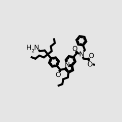 CCCCc1cc2cc(C(=O)N(CC(=O)OC)Cc3ccccc3)ccn2c1C(=O)c1ccc(C(CCN)(CCCC)CCCC)cc1